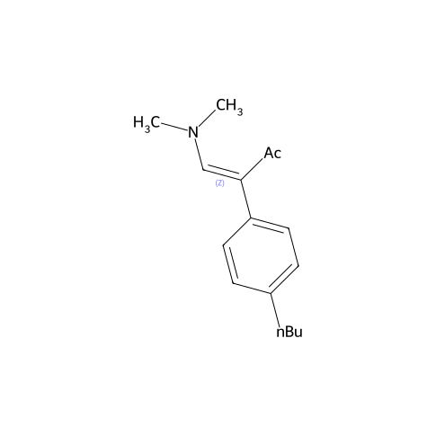 CCCCc1ccc(/C(=C/N(C)C)C(C)=O)cc1